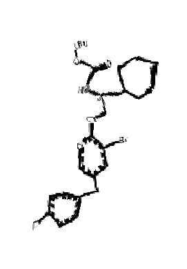 CC(C)(C)OC(=O)N[C@H](COc1ncc(Cc2ccc(F)cc2)cc1Br)C1CCCCC1